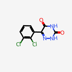 O=c1[nH]nc(-c2cccc(Cl)c2Cl)c(=O)[nH]1